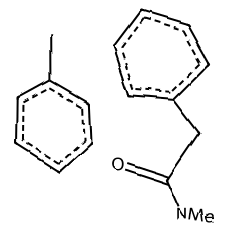 CNC(=O)Cc1ccccc1.Cc1ccccc1